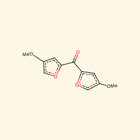 COc1coc(C(=O)c2cc(OC)co2)c1